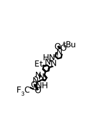 CCc1cc(-c2ccc3c(NS(=O)(=O)CCC(F)(F)F)ncnn23)cc2cnc(N[C@H]3CCCN(C(=O)OC(C)(C)C)C3)nc12